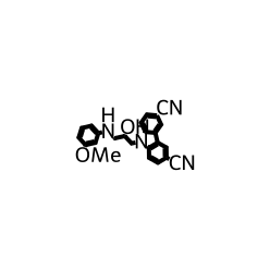 COc1cccc(NCC(O)Cn2c3ccc(C#N)cc3c3cc(C#N)ccc32)c1